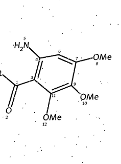 CCC(=O)c1c(N)cc(OC)c(OC)c1OC